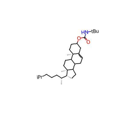 CC(C)CCC[C@@H](C)[C@H]1CCC2C3CC=C4CC(OC(=O)NC(C)(C)C)CC[C@]4(C)C3CC[C@@]21C